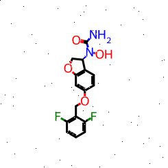 NC(=O)N(O)[C@@H]1COc2cc(OCc3c(F)cccc3F)ccc21